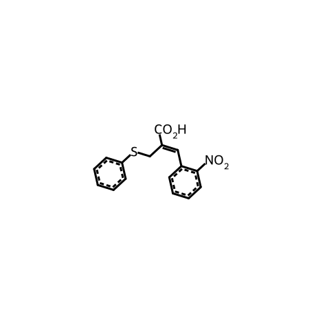 O=C(O)/C(=C/c1ccccc1[N+](=O)[O-])CSc1ccccc1